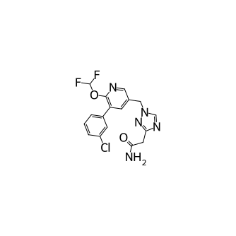 NC(=O)Cc1ncn(Cc2cnc(OC(F)F)c(-c3cccc(Cl)c3)c2)n1